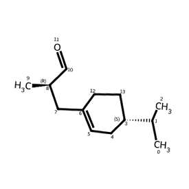 CC(C)[C@@H]1CC=C(C[C@@H](C)C=O)CC1